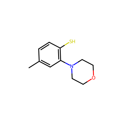 Cc1ccc(S)c(N2CCOCC2)c1